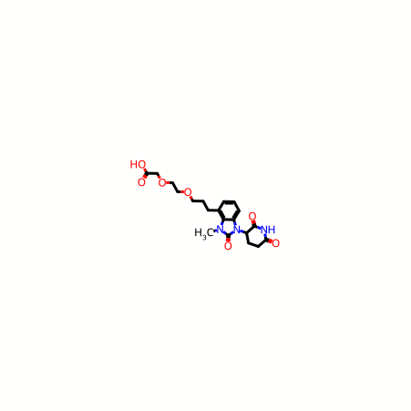 Cn1c(=O)n(C2CCC(=O)NC2=O)c2cccc(CCCOCCOCC(=O)O)c21